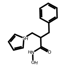 O=C(NO)C(Cc1ccccc1)C[SH]1C=CC=C1